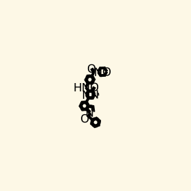 Cn1cc(-c2cccc3c2ccn3C(=O)c2ccccc2)nc(Nc2ccc(C(=O)N3CCOCC3)cc2)c1=O